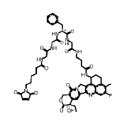 CC[C@@]1(O)C(=O)OCc2c1cc1n(c2=O)Cc2c-1nc1cc(F)c(C)c3c1c2C(NC(=O)CCCNC(=O)CNC(=O)[C@H](Cc1ccccc1)NC(=O)CNC(=O)CNC(=O)CCCCCN1C(=O)C=CC1=O)CC3